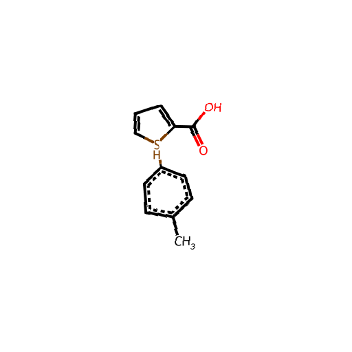 Cc1ccc([SH]2C=CC=C2C(=O)O)cc1